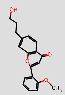 COc1ccccc1-c1cc(=O)c2ccc(CCCO)cc2o1